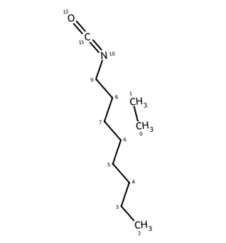 CC.CCCCCCCCN=C=O